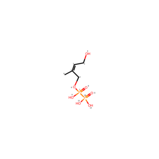 C/C(=C/CO)COP(=O)(O)P(=O)(O)O